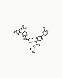 Cn1ccc(-c2cnc(N(C(=O)OCC3(F)CC3)[C@H]3CC[C@H](Nc4ncc(C(F)(F)F)c(-c5n[nH]cc5Cl)n4)CC3)cn2)cc1=O